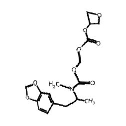 CC(Cc1ccc2c(c1)OCO2)N(C)C(=O)OCOC(=O)OC1COC1